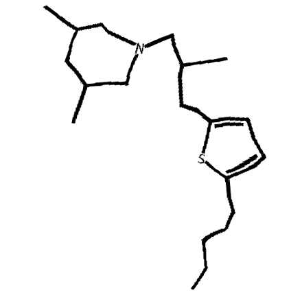 CCCCc1ccc(CC(C)CN2CC(C)CC(C)C2)s1